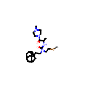 CC(=O)SCCN(CCC12CC3CC(CC(C3)C1)C2)C(=O)NC(C)C(=O)N1CCN(C)CC1